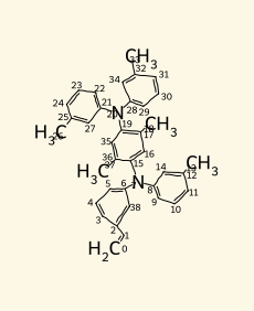 C=Cc1cccc(N(c2cccc(C)c2)c2cc(C)c(N(c3cccc(C)c3)c3cccc(C)c3)cc2C)c1